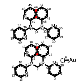 [Cl][Au].c1ccc(P(CP(c2ccccn2)c2ccccn2)c2ccccn2)nc1.c1ccc(P(CP(c2ccccn2)c2ccccn2)c2ccccn2)nc1